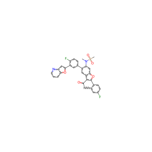 CNC(=O)c1c(-c2ccc(F)cc2)oc2cc(N(C)S(C)(=O)=O)c(-c3ccc(F)c(-c4cc5ncccc5o4)c3)cc12